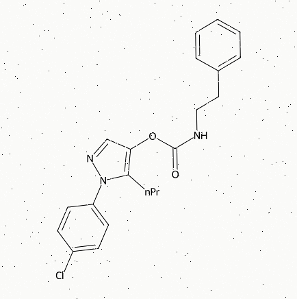 CCCc1c(OC(=O)NCCc2ccccc2)cnn1-c1ccc(Cl)cc1